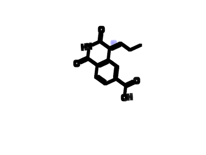 CC/C=C1/C(=O)NC(=O)c2ccc(C(=O)O)cc21